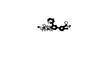 CCOC(=O)Nc1nc2cc(-c3ccc4c(c3)C(=O)N(C)C4)cc(-c3ccccn3)c2[nH]1